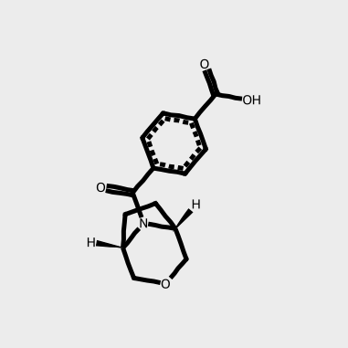 O=C(O)c1ccc(C(=O)N2[C@@H]3CC[C@H]2COC3)cc1